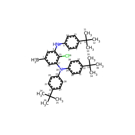 Bc1cc(Nc2ccc(C(C)(C)C)cc2)c(Cl)c(N(c2ccc(C(C)(C)C)cc2)c2ccc(C(C)(C)C)cc2)c1